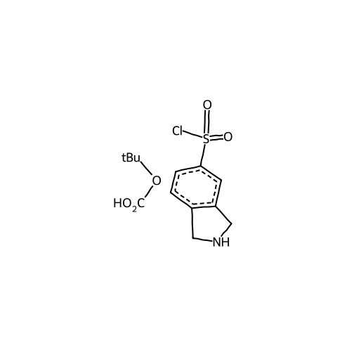 CC(C)(C)OC(=O)O.O=S(=O)(Cl)c1ccc2c(c1)CNC2